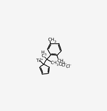 Cc1ccc(C)c(C(C)(C)[C]2([Ti+3])C=CC=C2)c1.[Cl-].[Cl-].[Cl-]